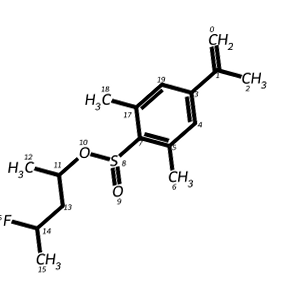 C=C(C)c1cc(C)c(S(=O)OC(C)CC(C)F)c(C)c1